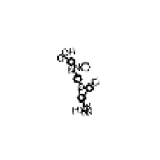 O=C(O)c1ccc2c(c1)nc(-c1ccc(OCc3ccc(-c4nnn[nH]4)cc3-c3ccc(Cl)cc3)cc1)n2C1CCCCC1